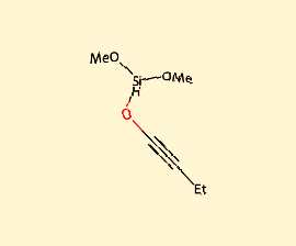 CCC#CO[SiH](OC)OC